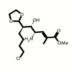 COC(=O)/C(C)=C/[C@H](N)[C@@H](O)[C@@H](CCCCCl)C1OCCO1